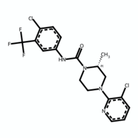 C[C@@H]1CN(c2ncccc2Cl)CCN1C(=O)Nc1ccc(Cl)c(C(F)(F)F)c1